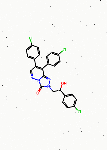 O=c1n(CC(O)c2ccc(Cl)cc2)nc2c(-c3ccc(Cl)cc3)c(-c3ccc(Cl)cc3)cnn12